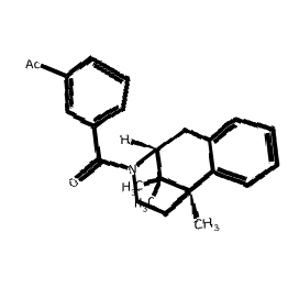 CC(=O)c1cccc(C(=O)N2CC[C@@]3(C)c4ccccc4C[C@@H]2C3(C)C)c1